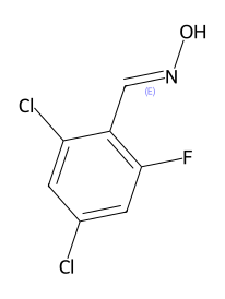 O/N=C/c1c(F)cc(Cl)cc1Cl